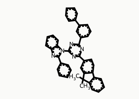 CC1(C)c2ccccc2-c2ccc(-c3nc(-c4cccc(-c5ccccc5)c4)nc(-n4c(-c5ccccc5)nc5ccccc54)n3)cc21